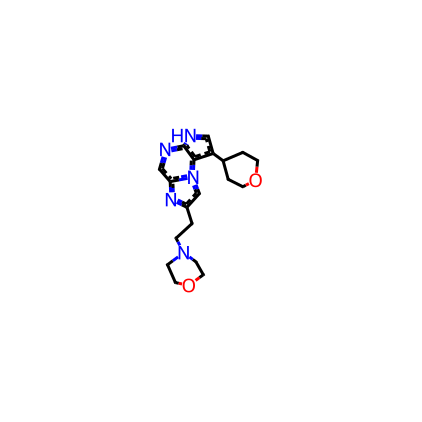 c1[nH]c2ncc3nc(CCN4CCOCC4)cn3c2c1C1CCOCC1